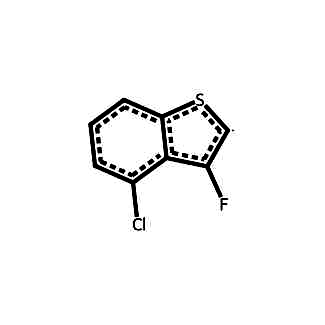 Fc1[c]sc2cccc(Cl)c12